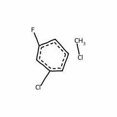 CCl.Fc1cccc(Cl)c1